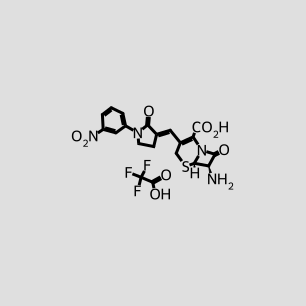 N[C@@H]1C(=O)N2C(C(=O)O)=C(/C=C3\CCN(c4cccc([N+](=O)[O-])c4)C3=O)CS[C@H]12.O=C(O)C(F)(F)F